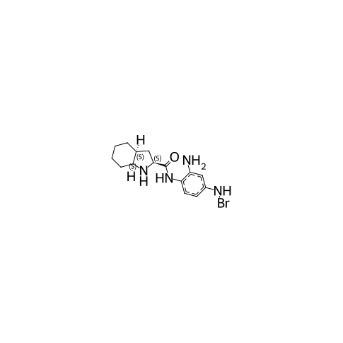 Nc1cc(NBr)ccc1NC(=O)[C@@H]1C[C@@H]2CCCC[C@@H]2N1